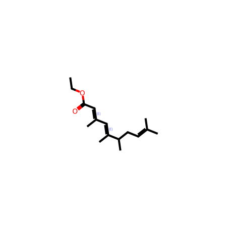 CCOC(=O)/C=C(C)/C=C(\C)C(C)CC=C(C)C